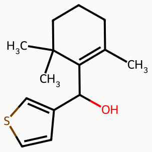 CC1=C(C(O)c2ccsc2)C(C)(C)CCC1